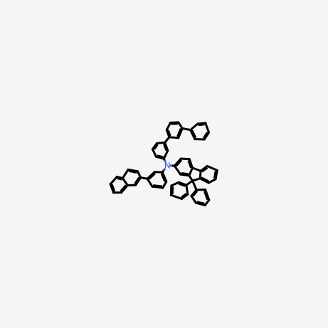 c1ccc(-c2cccc(-c3cccc(N(c4cccc(-c5ccc6ccccc6c5)c4)c4ccc5c(c4)C(c4ccccc4)(c4ccccc4)c4ccccc4-5)c3)c2)cc1